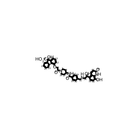 O=C(NC1CCN(C(=O)COc2cccc(C(O)(C(=O)O)c3ccccc3)c2)CC1)c1ccc(CNCC(O)c2ccc(O)c3[nH]c(=O)ccc23)cc1